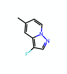 Cc1ccn2ncc(F)c2c1